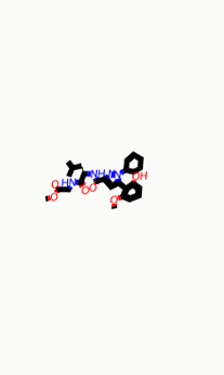 COC(=O)CNC(=O)[C@H](CC(C)C)NC(=O)c1cc(-c2c(O)cccc2OC)n(C2C=CCCC2)n1